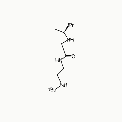 CC(C)[C@H](C)NCC(=O)NCCNC(C)(C)C